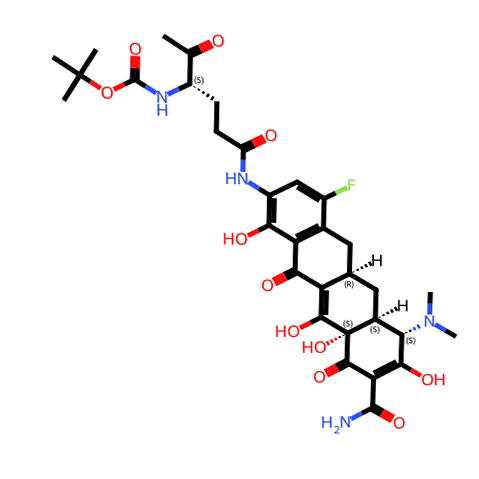 CC(=O)[C@H](CCC(=O)Nc1cc(F)c2c(c1O)C(=O)C1=C(O)[C@]3(O)C(=O)C(C(N)=O)=C(O)[C@@H](N(C)C)[C@@H]3C[C@@H]1C2)NC(=O)OC(C)(C)C